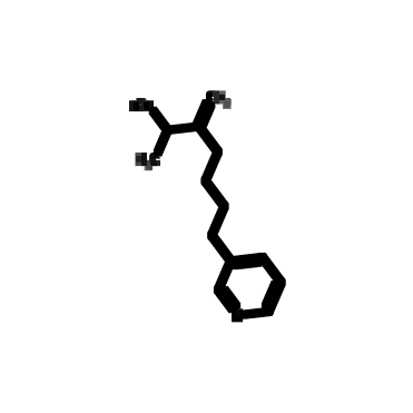 C=C(CCCCc1cccnc1)C(C)CCCC